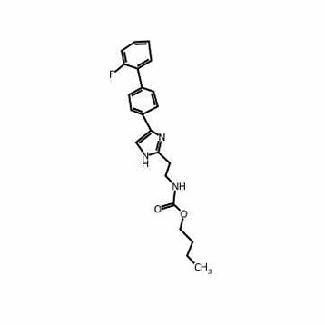 CCCCOC(=O)NCCc1nc(-c2ccc(-c3ccccc3F)cc2)c[nH]1